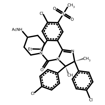 CCOc1cc(Cl)c(S(C)(=O)=O)cc1C1=N[C@@](C)(c2ccc(Cl)cc2)[C@@](C)(c2ccc(Cl)cc2)N1C(=O)N1CCC(NC(C)=O)CC1